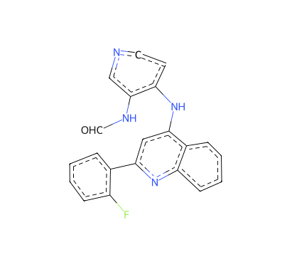 O=CNc1cnccc1Nc1cc(-c2ccccc2F)nc2ccccc12